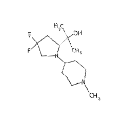 CN1CCC(N2CC(F)(F)C[C@@H]2C(C)(C)O)CC1